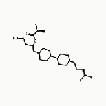 C=C(C)C(=O)OC(CCO)CC1CCC(C2CCC(CCC=C(F)F)CC2)CC1